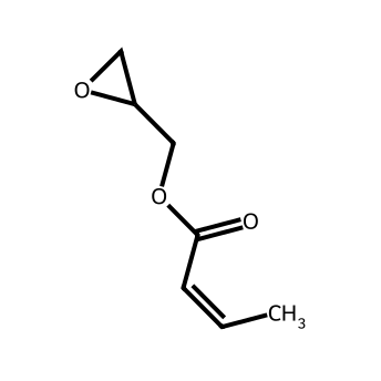 C/C=C\C(=O)OCC1CO1